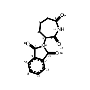 O=C1CCCC(N2C(=O)c3ccccc3C2=O)C(=O)N1